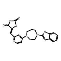 O=C1NC(=O)C(=Cc2nccc(N3CCCN(c4nc5ccccc5o4)CC3)n2)S1